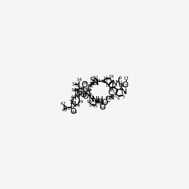 CCn1c(-c2cccnc2[C@H](C)OC)c2c3cc(ccc31)-c1csc(n1)C[C@H](NC(=O)C(C(C)C)N(C)C(=O)N1CCN(C(=O)C3CC3)CC1)C(=O)N1CCC[C@H](N1)C(=O)OCC(C)(C)C2